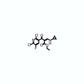 CCOC(=O)C(=CNC1CC1)C(=O)c1cc(F)c(Cl)nc1Cl